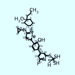 CCC[C@]1(C)CC[C@H](F)[C@H](N(c2cnc(-c3ccc(-c4cc(F)nc(SC(S)(S)S)c4)cc3O)nn2)C2CC2)C1